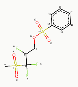 CS(=O)(=O)C(F)(F)C(F)COS(=O)(=O)c1ccccc1